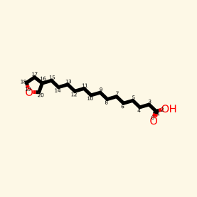 O=C(O)CCCCCCCCCCCCCC1CCOC1